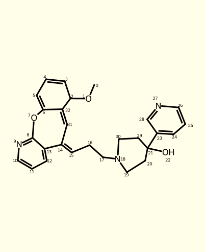 COC1C=CC=C2Oc3ncccc3C(=CCCN3CCC(O)(c4cccnc4)CC3)C=C21